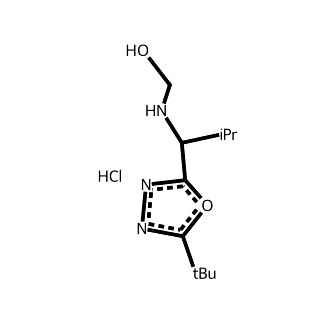 CC(C)C(NCO)c1nnc(C(C)(C)C)o1.Cl